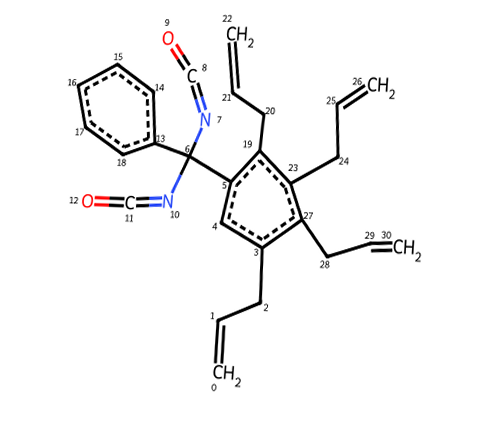 C=CCc1cc(C(N=C=O)(N=C=O)c2ccccc2)c(CC=C)c(CC=C)c1CC=C